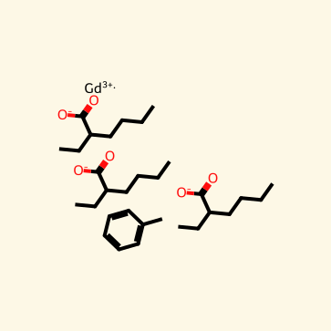 CCCCC(CC)C(=O)[O-].CCCCC(CC)C(=O)[O-].CCCCC(CC)C(=O)[O-].Cc1ccccc1.[Gd+3]